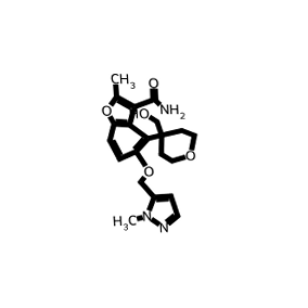 Cc1oc2ccc(OCc3ccnn3C)c(C3(CO)CCOCC3)c2c1C(N)=O